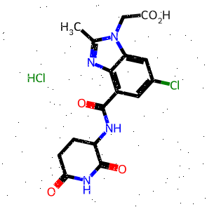 Cc1nc2c(C(=O)NC3CCC(=O)NC3=O)cc(Cl)cc2n1CC(=O)O.Cl